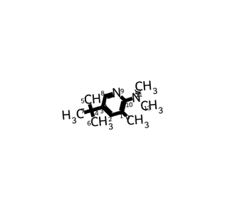 Cc1cc(C(C)(C)C)cnc1N(C)C